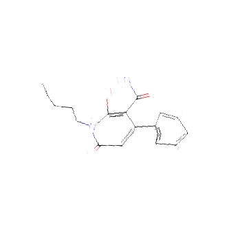 CCCCn1c(O)c(C(N)=O)c(-c2ccccc2)cc1=O